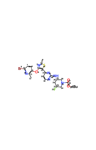 Cc1nc(Oc2ccc(Br)nc2C)c(-c2ccnc(N[C@H]3C[C@H](F)CN(C(=O)OC(C)(C)C)C3)n2)s1